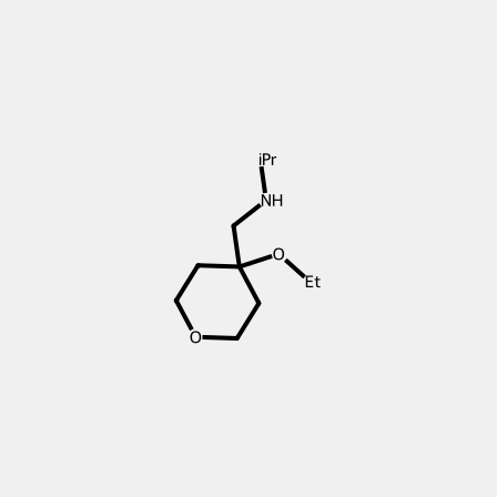 CCOC1(CNC(C)C)CCOCC1